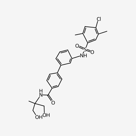 Cc1cc(S(=O)(=O)Nc2cccc(-c3ccc(C(=O)NC(C)(CO)CO)cc3)c2)c(C)cc1Cl